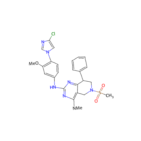 CNc1nc(Nc2ccc(-n3cnc(Cl)c3)c(OC)c2)nc2c1CN(S(C)(=O)=O)CC2c1ccccc1